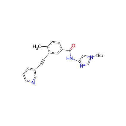 Cc1ccc(C(=O)Nc2cn(C(C)(C)C)cn2)cc1C#Cc1cccnc1